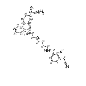 N#CCc1cccc(CNCCCCOCCNc2nc3cc(C(N)=O)ccc3c3cnccc23)c1Cl